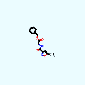 Cc1cc(C(=O)NCC(=O)OCc2ccccc2)no1